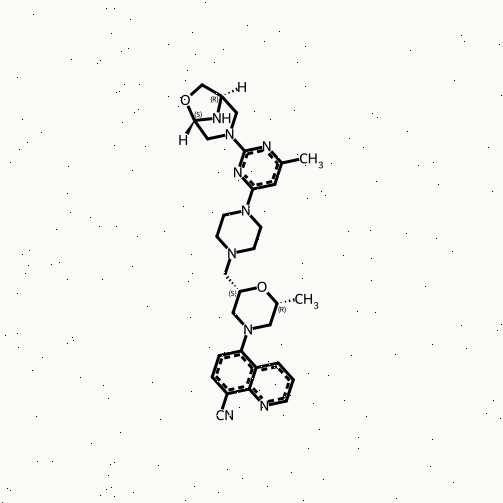 Cc1cc(N2CCN(C[C@H]3CN(c4ccc(C#N)c5ncccc45)C[C@@H](C)O3)CC2)nc(N2C[C@@H]3CO[C@@H](C2)N3)n1